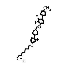 CCCCCCCCOc1ccc(C2CCC(COc3ccc(-c4ccc(C)cc4)c(F)c3F)CC2)c(F)c1